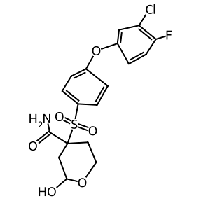 NC(=O)C1(S(=O)(=O)c2ccc(Oc3ccc(F)c(Cl)c3)cc2)CCOC(O)C1